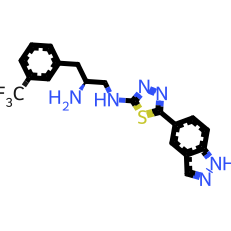 N[C@H](CNc1nnc(-c2ccc3[nH]ncc3c2)s1)Cc1cccc(C(F)(F)F)c1